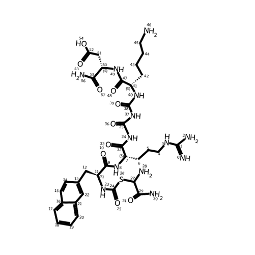 N=C(N)NCCC[C@H](NC(=O)[C@H](Cc1ccc2ccccc2c1)NC(=O)SC(N)C(N)=O)C(=O)NC(=O)NC(=O)N[C@@H](CCCCN)C(=O)N[C@@H](CC(=O)O)C(N)=O